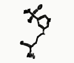 CNS(=O)(=O)c1cncc([CH]CCC(N)=O)c1